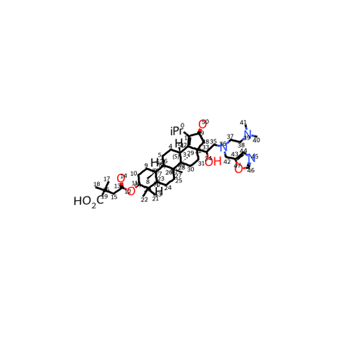 CC(C)C1=C2[C@H]3CC[C@@H]4[C@@]5(C)CC[C@H](OC(=O)CC(C)(C)C(=O)O)C(C)(C)[C@@H]5CC[C@@]4(C)[C@]3(C)CCC2(C(O)CN(CCN(C)C)Cc2cnco2)CC1=O